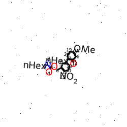 CCCCCCN(CCCCCC)C(=O)OCc1cc2c(cc1[N+](=O)[O-])oc1cc(OC)ccc12